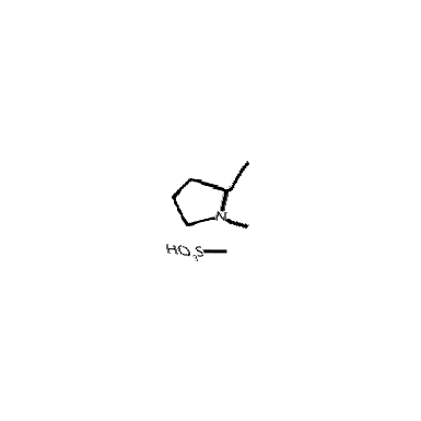 CC1CCCN1C.CS(=O)(=O)O